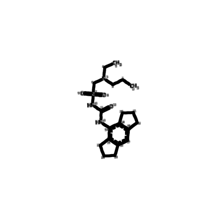 CCCN(CC)CS(=O)(=O)NC(=O)Nc1c2c(cc3c1CCC3)CCC2